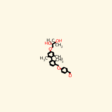 Cc1cc(OC[C@@H](O)C(C)(C)O)cc(C)c1-c1cccc(COc2ccc(C=O)cc2)c1C